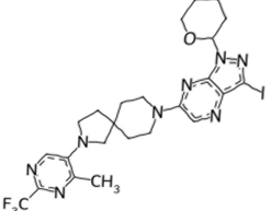 Cc1nc(C(F)(F)F)ncc1N1CCC2(CCN(c3cnc4c(I)nn(C5CCCCO5)c4n3)CC2)C1